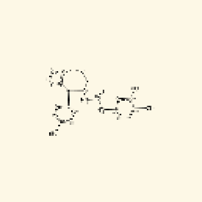 CC(C)(C)c1ccc(C2c3cccn3CCCC2NC(=O)Nc2ccc(Cl)c(Cl)c2)cc1